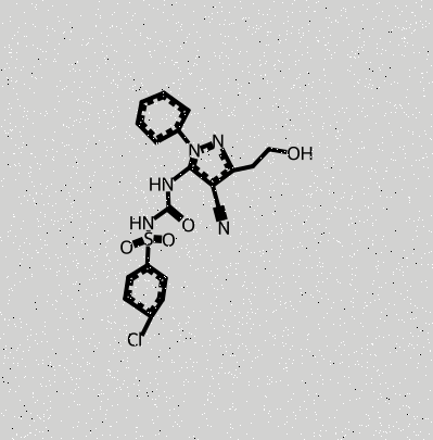 N#Cc1c(CCO)nn(-c2ccccc2)c1NC(=O)NS(=O)(=O)c1ccc(Cl)cc1